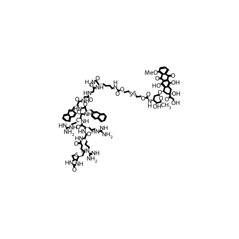 COc1cccc2c1C(=O)c1c(O)c3c(c(O)c1C2=O)C[C@@](O)(C(=O)CO)C[C@@H]3O[C@H]1C[C@H](NC(=O)OCCSSCCOC(=O)NCCCC[C@H](NC(=O)CNC(=O)CNC(=O)[C@@H](Cc2ccc3ccccc3c2)NC(=O)[C@H](Cc2ccc3ccccc3c2)NC(=O)[C@H](CCCNC(=N)N)NC(=O)[C@H](CCCNC(=N)N)NC(=O)[C@H](CCCNC(=N)N)NC(=O)CCCC[C@@H]2SCC3NC(=O)NC32)C(N)=O)[C@H](O)[C@H](C)O1